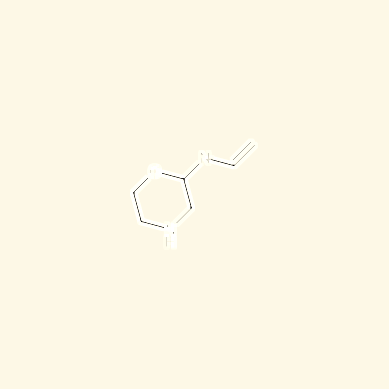 C=C[N]C1CNCCO1